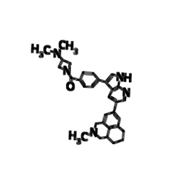 CN1Cc2cc(-c3cnc4[nH]cc(-c5ccc(C(=O)N6CC(N(C)C)C6)cc5)c4c3)cc3c2C(CCC3)C1